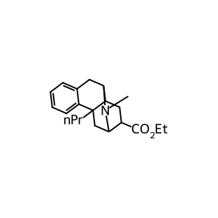 CCCC12CC3C(C(=O)OCC)CC1C(Cc1ccccc12)N3C